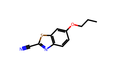 CCCOc1ccc2nc(C#N)sc2c1